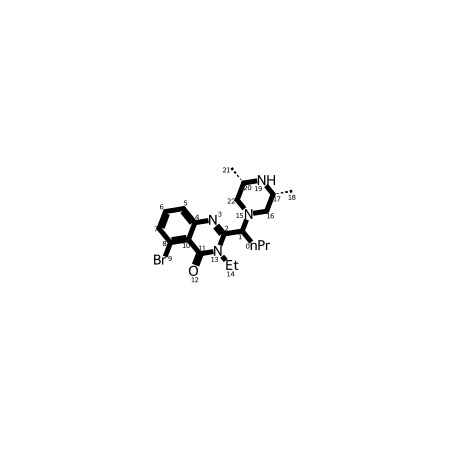 CCCC(c1nc2cccc(Br)c2c(=O)n1CC)N1C[C@@H](C)N[C@@H](C)C1